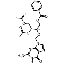 CC(=O)OCC(OC(C)=O)[C@@H](COC(=O)c1ccccc1)OCn1cnc2c(=O)[nH]c(N)nc21